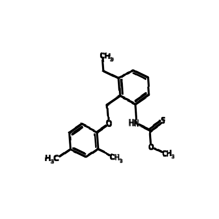 CCc1cccc(NC(=S)OC)c1COc1ccc(C)cc1C